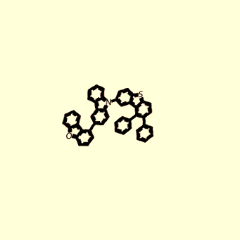 c1ccc(-c2ccc3sc4ccc(-n5c6ccccc6c6cc(-c7cccc8oc9ccccc9c78)ccc65)cc4c3c2-c2ccccc2)cc1